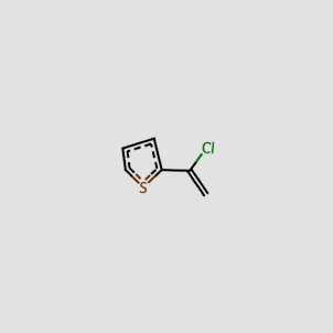 C=C(Cl)c1cccs1